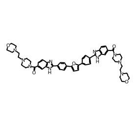 O=C(c1ccc2nc(-c3ccc(-c4ccc(-c5ccc(-c6nc7ccc(C(=O)N8CCN(CCN9CCOCC9)CC8)cc7[nH]6)cc5)o4)cc3)[nH]c2c1)N1CCN(CCN2CCOCC2)CC1